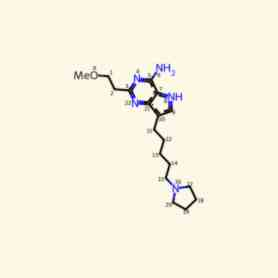 COCCc1nc(N)c2[nH]cc(CCCCCN3CCCC3)c2n1